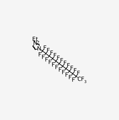 CC[n+]1ccn(C(F)(F)C(F)(F)C(F)(F)C(F)(F)C(F)(F)C(F)(F)C(F)(F)C(F)(F)C(F)(F)C(F)(F)C(F)(F)C(F)(F)F)c1